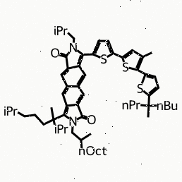 CCCCCCCCC(C)CN1C(=O)c2cc3cc4c(cc3cc2=C1C(C)(CCCC(C)C)C(C)C)C(=O)N(CC(C)C)C=4c1ccc(-c2cc(C)c(-c3ccc(C(C)(CCC)CCCC)s3)s2)s1